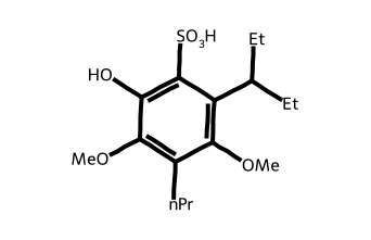 CCCc1c(OC)c(O)c(S(=O)(=O)O)c(C(CC)CC)c1OC